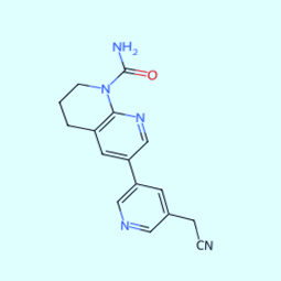 N#CCc1cncc(-c2cnc3c(c2)CCCN3C(N)=O)c1